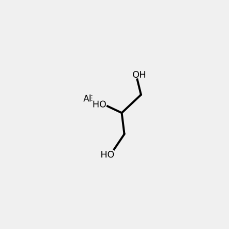 OCC(O)CO.[Al]